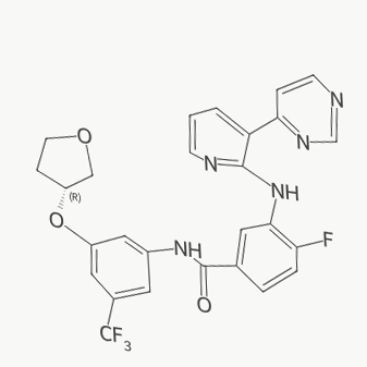 O=C(Nc1cc(O[C@@H]2CCOC2)cc(C(F)(F)F)c1)c1ccc(F)c(Nc2ncccc2-c2ccncn2)c1